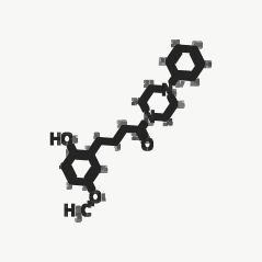 COc1ccc(O)c(CCCC(=O)N2CCN(c3ccccc3)CC2)c1